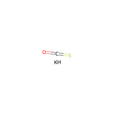 O=C=S.[KH]